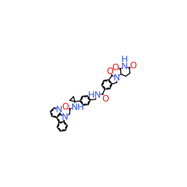 O=C1CCC(N2Cc3cc(C(=O)NCc4ccc(C5(NC(=O)Cn6c7ccccc7c7cccnc76)CC5)cc4)ccc3C2=O)C(=O)N1